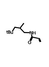 C=CC(=O)NCC(C)CC(C)(C)C